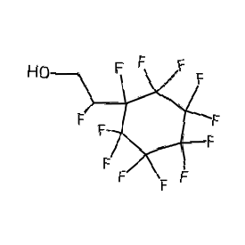 OCC(F)C1(F)C(F)(F)C(F)(F)C(F)(F)C(F)(F)C1(F)F